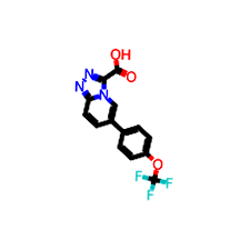 O=C(O)c1nnc2ccc(-c3ccc(OC(F)(F)F)cc3)cn12